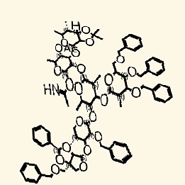 CC(=N)O[C@H]1OC(C)[C@H](OC(C)=O)C(O[C@@H]2OC(C)[C@H](C)[C@@H]3OC(C)(C)OC23)[C@H]1O[C@@H]1OC(C)[C@H](O[C@@H]2OC[C@@H](C)C(O[C@@H]3OC[C@@]4(COCc5ccccc5)O[C@@H](c5ccccc5)OC34)[C@H]2OCc2ccccc2)C(O[C@@H]2OC(COCc3ccccc3)[C@@H](OCc3ccccc3)C(OCc3ccccc3)[C@H]2C)[C@@H]1C